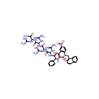 N=C(N)NC(NC(=O)C(NC(=N)N)NC(=O)C(NC(=N)N)NC(=O)C(NC(=N)N)NC(=O)C(NC(=O)C(O)N(Cc1c(O)ccc2ccccc12)c1ccc([N+](=O)[O-])cc1C(=O)O)c1ccccc1)C(N)=O